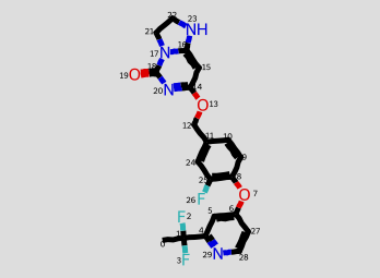 CC(F)(F)c1cc(Oc2ccc(COc3cc4n(c(=O)n3)CCN4)cc2F)ccn1